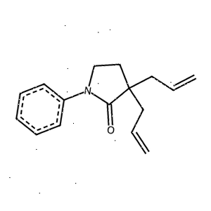 C=CCC1(CC=C)CCN(c2ccccc2)C1=O